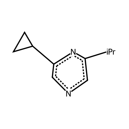 CC(C)c1cncc(C2CC2)n1